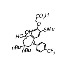 CCCCC1(CCCC)CN(c2ccc(C(F)(F)F)cc2)c2cc(SC)c(OCC(=O)O)cc2S(O)(O)C1